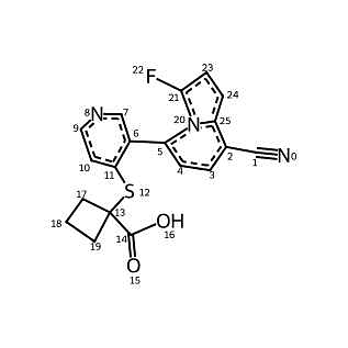 N#Cc1ccc(-c2cnccc2SC2(C(=O)O)CCC2)n2c(F)ccc12